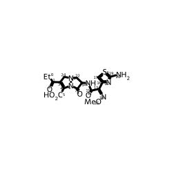 CCC(=O)C1=C(C(=O)O)N2C(=O)C(NC(=O)/C(=N\OC)c3csc(N)n3)CN2C1